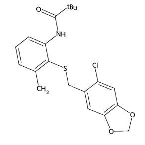 Cc1cccc(NC(=O)C(C)(C)C)c1SCc1cc2c(cc1Cl)OCO2